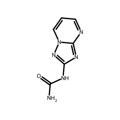 NC(=O)Nc1nc2ncccn2n1